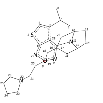 CC(C)c1csc2ncnc(N3C4CCC3CC(COCCN3CCCC3)C4)c12